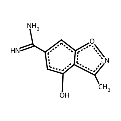 Cc1noc2cc(C(=N)N)cc(O)c12